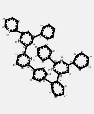 c1ccc(-c2cc(-c3ccccn3)nc(-c3cccc(-c4ccc(-c5ccccc5-c5cc(-c6ccccc6)nc(-c6ccccc6)n5)cc4)n3)c2)cc1